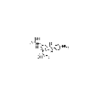 N=C(N)NCCC[C@H](NC(=O)[C@@H](N)CO)C(=O)Nc1ccc([N+](=O)[O-])cc1